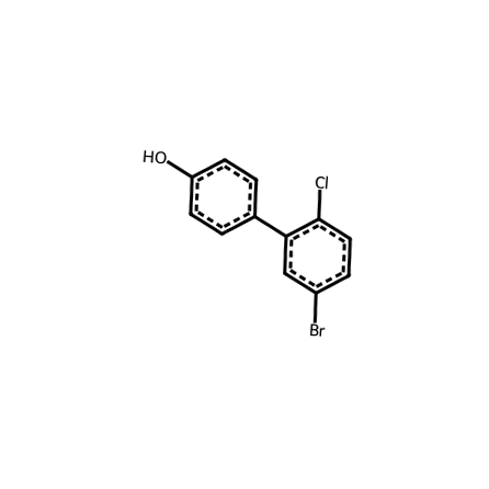 Oc1ccc(-c2cc(Br)ccc2Cl)cc1